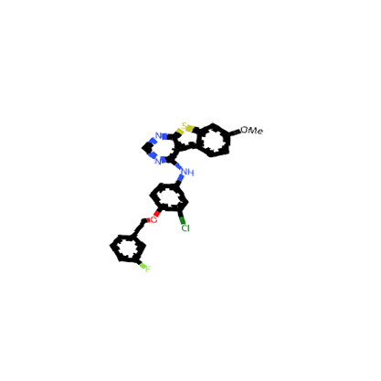 COc1ccc2c(c1)sc1ncnc(Nc3ccc(OCc4cccc(F)c4)c(Cl)c3)c12